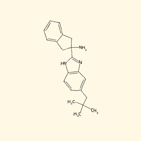 CC(C)(C)Cc1ccc2[nH]c(C3(N)Cc4ccccc4C3)nc2c1